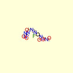 CC(=O)NCC1CN(c2ccc(N3CCN(CC4(C)Cn5cc([N+](=O)[O-])nc5O4)CC3)c(F)c2)C(=O)O1